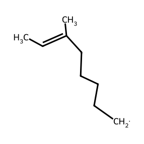 [CH2]CCCCC(C)=CC